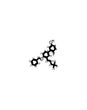 COc1ccc(F)c(-c2ccc(OCc3ccccc3)c(C=CCC(C)(C)C)c2)c1